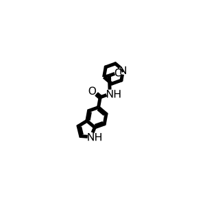 O=C(NC1CN2CCC1CC2)c1ccc2[nH]ccc2c1